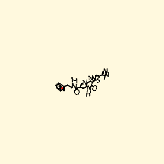 Cc1nn(C)cc1-c1cn2nc3c4ncc(C(=O)NCCN5CC6CCC5CC6)cc4[nH]c(=O)c3c2s1